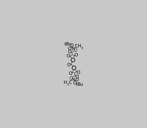 C[C@@H]1CC[C@@H](C(=O)C2C(=O)c3ccc(C(=O)c4ccc5c(c4)C(=O)C(C(=O)[C@@H]4CC[C@@H](C)N4C(=O)OC(C)(C)C)C5=O)cc3C2=O)N1C(=O)OC(C)(C)C